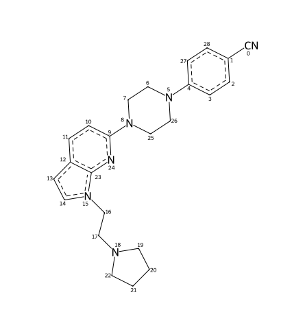 N#Cc1ccc(N2CCN(c3ccc4ccn(CCN5CCCC5)c4n3)CC2)cc1